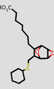 O=C(O)CCCCCCC1C(CSC2CCCCC2)C2OC1C1OC21